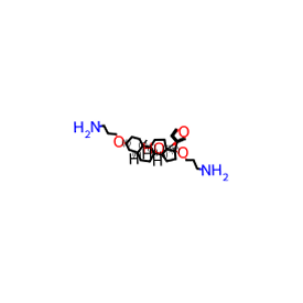 C[C@]12CC[C@H](OCCCN)C[C@H]1CC[C@@H]1[C@@H]2CC[C@]2(C)[C@@](OCCCN)(c3ccoc3)CC[C@]12O